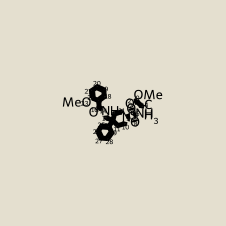 COC(=O)[C@H](C)NS(=O)(=O)N1CCC(CNC(=O)c2ccccc2OC)(c2ccccc2)CC1